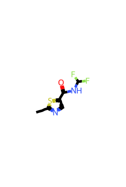 Cc1ncc(C(=O)NC(F)F)s1